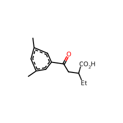 CCC(CC(=O)c1cc(C)cc(C)c1)C(=O)O